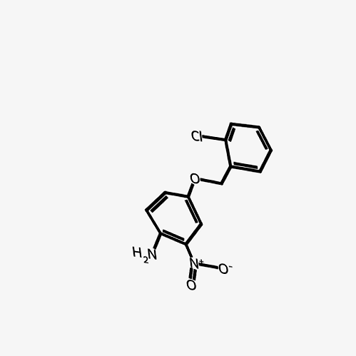 Nc1ccc(OCc2ccccc2Cl)cc1[N+](=O)[O-]